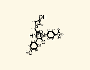 COc1ccc(C(NC(=O)CN2CC(O)C2)C(=O)Nc2ccc(S(C)(C)C)cc2)cc1